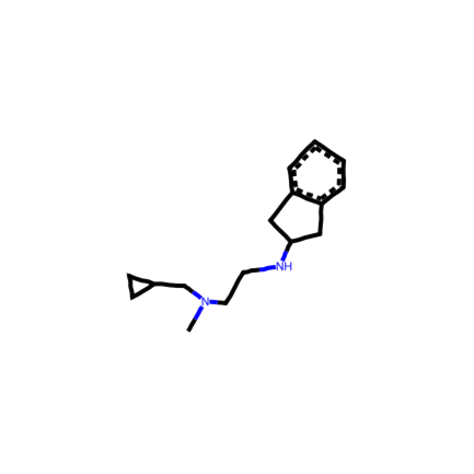 CN(CCNC1Cc2ccccc2C1)CC1CC1